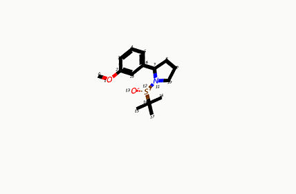 COc1cccc(C2CCCN2[S@@+]([O-])C(C)(C)C)c1